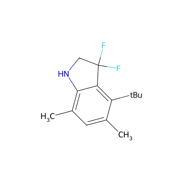 Cc1cc(C)c(C(C)(C)C)c2c1NCC2(F)F